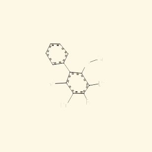 BrOc1c(Br)c(Br)c(Br)c(Br)c1-c1ccccc1